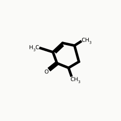 CC1=CC(C)CC(C)C1=O